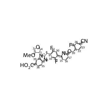 CO[C@@H]1COC[C@@H]1n1c(Cc2cc(F)c(-c3cccc(OCc4ccc(C#N)cc4F)n3)cc2F)nc2ccc(C(=O)O)cc21